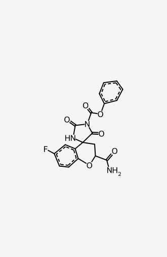 NC(=O)C1CC2(NC(=O)N(C(=O)Oc3ccccc3)C2=O)c2cc(F)ccc2O1